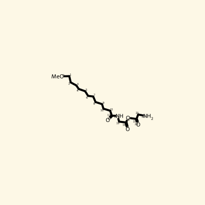 COCCCCCCCCCCCC(=O)NCC(=O)OC(=O)CN